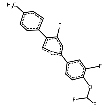 Cc1ccc(-c2ccc(-c3ccc(OC(F)F)c(F)c3)cc2F)cc1